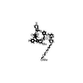 COCCOCCOCCOCCCN1CCN(c2nccc(COc3ccc4cc3C[C@H](C(=O)O)Oc3nc(C(C)(C)C)nc5sc(-c6ccc(F)cc6)c(c35)-c3c(C)c(Cl)c(c(Cl)c3C)O[C@H](CN3CCN(C)CC3)CO4)n2)CC1